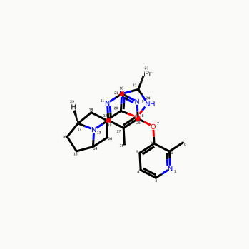 Cc1ncccc1Oc1ncnc(N2C3CC[C@@H]2CC(C2=NC(C(C)C)NO2)C3)c1C